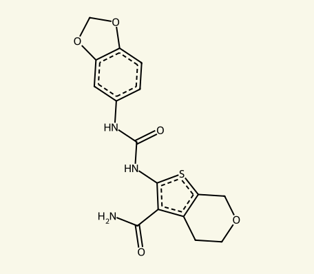 NC(=O)c1c(NC(=O)Nc2ccc3c(c2)OCO3)sc2c1CCOC2